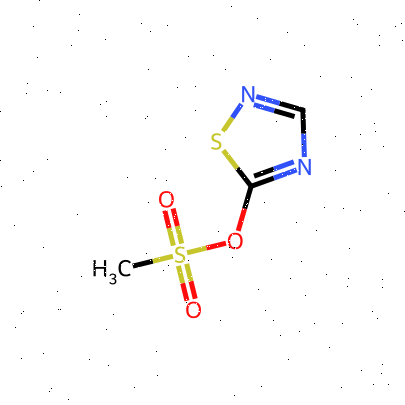 CS(=O)(=O)Oc1ncns1